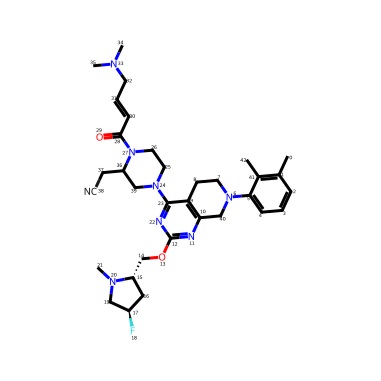 Cc1cccc(N2CCc3c(nc(OC[C@@H]4C[C@@H](F)CN4C)nc3N3CCN(C(=O)/C=C/CN(C)C)C(CC#N)C3)C2)c1C